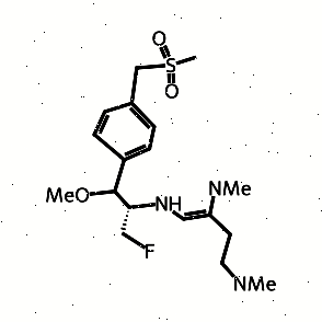 CNCC/C(=C/N[C@H](CF)C(OC)c1ccc(CS(C)(=O)=O)cc1)NC